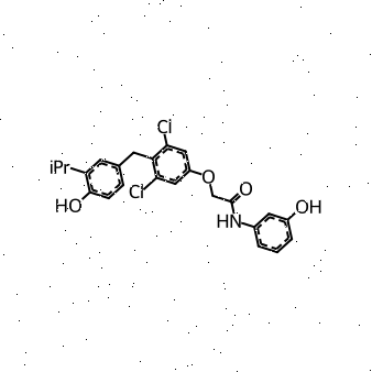 CC(C)c1cc(Cc2c(Cl)cc(OCC(=O)Nc3cccc(O)c3)cc2Cl)ccc1O